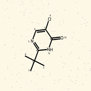 CC(C)(C)c1ncc(Cl)c(=O)[nH]1